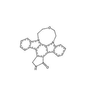 O=C1NCc2c1c1c3ccccc3n3c1c1c2c2ccccc2n1CCOCC3